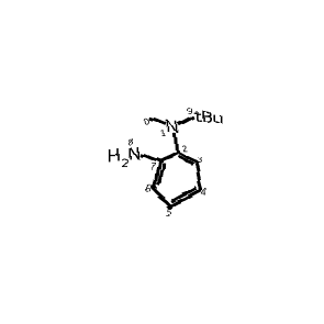 CN(c1ccccc1N)C(C)(C)C